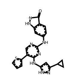 O=C1[N]Nc2cc(Nc3ncc(-c4cccs4)c(Nc4cc(C5CC5)n[nH]4)n3)ccc21